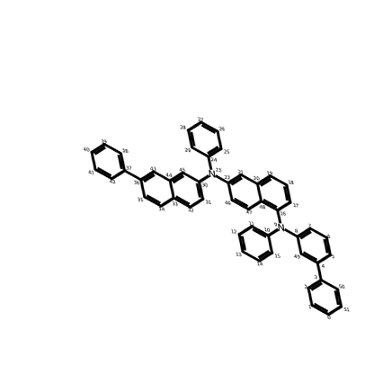 c1ccc(-c2cccc(N(c3ccccc3)c3cccc4cc(N(c5ccccc5)c5ccc6ccc(-c7ccccc7)cc6c5)ccc34)c2)cc1